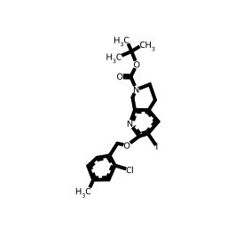 Cc1ccc(COc2nc3c(cc2I)CCN(C(=O)OC(C)(C)C)C3)c(Cl)c1